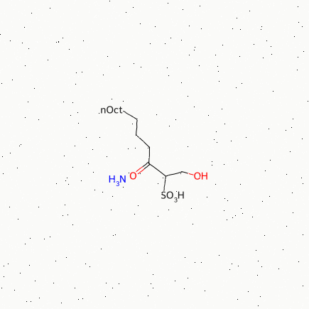 CCCCCCCCCCCC(=O)C(CO)S(=O)(=O)O.N